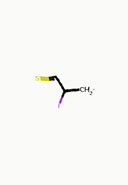 [CH2]C(I)C=S